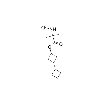 CC(C)(NCl)C(=O)OC1CC(C2CCC2)C1